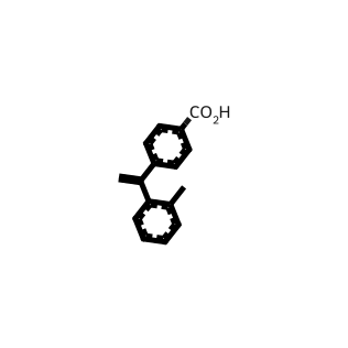 C=C(c1ccc(C(=O)O)cc1)c1ccccc1C